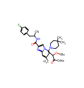 COC(=O)C(OC(C)(C)C)c1c(C)cc2nc(C(=O)NC(C#N)Cc3ccc(F)cc3)cn2c1N1CCC(C)(C)CC1